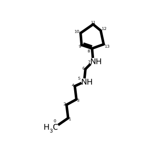 CCCCCNCNC1=CCCCC1